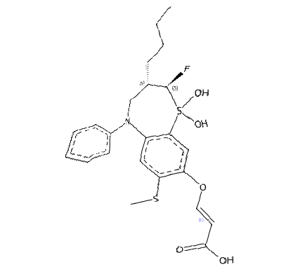 CCCC[C@H]1CN(c2ccccc2)c2cc(SC)c(O/C=C/C(=O)O)cc2S(O)(O)[C@@H]1F